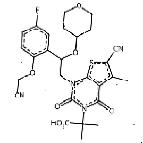 Cc1c(C#N)sc2c1c(=O)n(C(C)(C)C(=O)O)c(=O)n2CC(OC1CCOCC1)c1cc(F)ccc1OCC#N